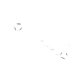 COc1ccc(CCOCCCCCCNCC(O)c2ccc(O)c(CO)c2)cc1